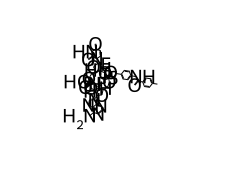 Cc1ccc(C(=O)Nc2ccc(CSP3(=O)OC[C@H]4O[C@@H](n5cnc6c(N)ncnc65)[C@H](OP(=O)(O)OC[C@H]5O[C@@H](n6ccc(=O)[nH]c6=O)[C@H](F)[C@@H]5O3)[C@@H]4F)cc2)cc1